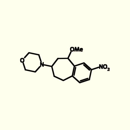 COC1CC(N2CCOCC2)CCc2ccc([N+](=O)[O-])cc21